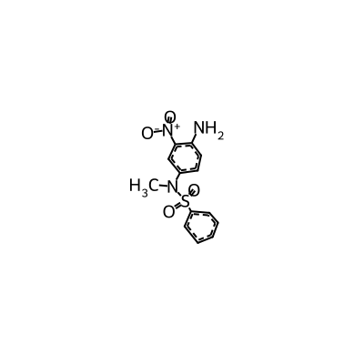 CN(c1ccc(N)c([N+](=O)[O-])c1)S(=O)(=O)c1ccccc1